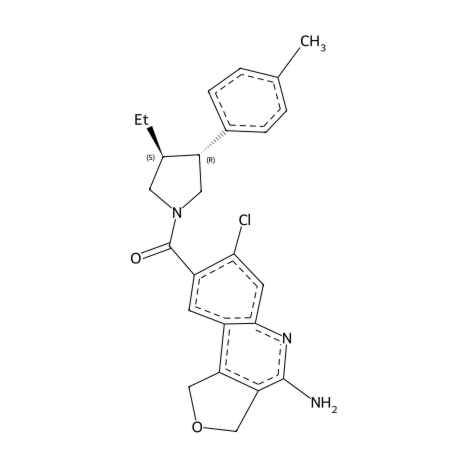 CC[C@@H]1CN(C(=O)c2cc3c4c(c(N)nc3cc2Cl)COC4)C[C@H]1c1ccc(C)cc1